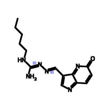 CCCCCN/C(N)=N/N=C/C1=CN=C2C=CC(=O)N=C12